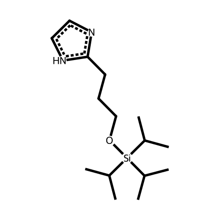 CC(C)[Si](OCCCc1ncc[nH]1)(C(C)C)C(C)C